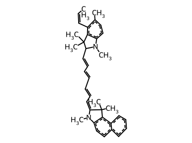 C/C=C\c1c(C)ccc2c1C(C)(C)C(/C=C/C=C/C=C/C=C1/N(C)c3ccc4ccccc4c3C1(C)C)N2C